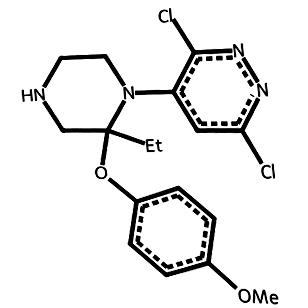 CCC1(Oc2ccc(OC)cc2)CNCCN1c1cc(Cl)nnc1Cl